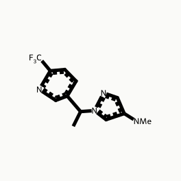 CNc1cnn(C(C)c2ccc(C(F)(F)F)nc2)c1